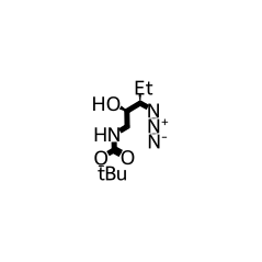 CC[C@H](N=[N+]=[N-])[C@H](O)CNC(=O)OC(C)(C)C